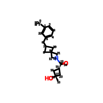 CC(C)c1cccc(CC2CC3(C2)CN(C(=O)[C@H]2C[C@@](C)(O)C2)C3)c1